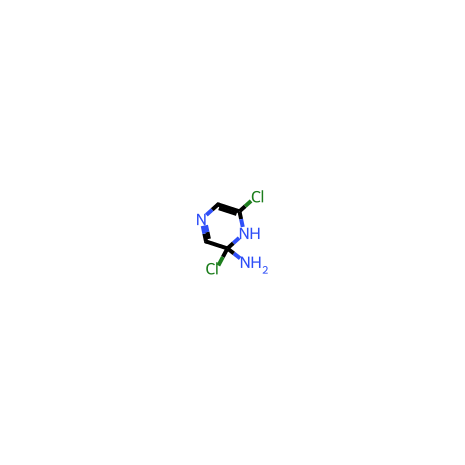 NC1(Cl)C=NC=C(Cl)N1